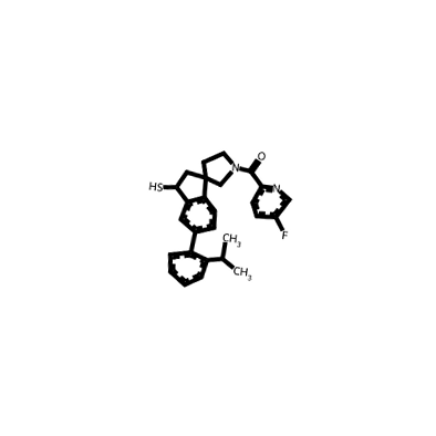 CC(C)c1ccccc1-c1ccc2c(c1)C(S)CC21CCN(C(=O)c2ccc(F)cn2)C1